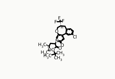 CO[C@@H](C)CC(C(=O)OC(C)(C)C)n1cc2c(cc1=O)-c1cc(Cl)ccc1C[C@@H](C(F)(F)F)CO2